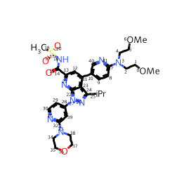 COCCN(CCOC)c1ccc(-c2cc(C(=O)NS(C)(=O)=O)nc3c2c(C(C)C)nn3-c2ccnc(N3CCOCC3)c2)cn1